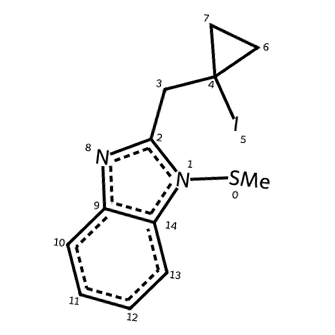 CSn1c(CC2(I)CC2)nc2ccccc21